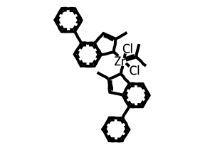 CC1=Cc2c(-c3ccccc3)cccc2[CH]1[Zr]([Cl])([Cl])(=[C](C)C)[CH]1C(C)=Cc2c(-c3ccccc3)cccc21